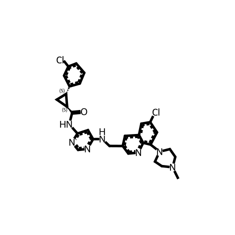 CN1CCN(c2cc(Cl)cc3cc(CNc4cc(NC(=O)[C@H]5C[C@@H]5c5cccc(Cl)c5)ncn4)cnc23)CC1